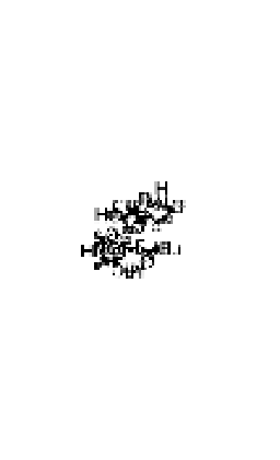 CC(C)OC(=O)[C@@H](C)N[P@@](=S)(OCCSC(=O)C(C)(C)C)OC[C@H]1O[C@@H](n2ccc(=O)[nH]c2=O)C(Cl)(Cl)[C@@H]1O